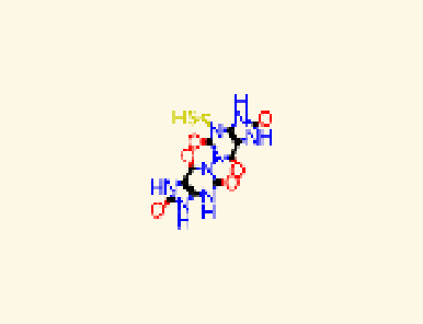 O=c1[nH]c2[nH]c(=O)n(-n3c(=O)c4[nH]c(=O)[nH]c4n(SS)c3=O)c(=O)c2[nH]1